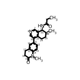 CCC(=O)N[C@@H]1c2cncc(-c3ccc4c(c3)CCC(=O)N4C)c2CC[C@@H]1C